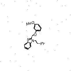 COc1cccc(OCc2nc3ccccc3n2CCC(C)C)c1